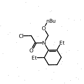 CCCCOCN(C(=O)CCl)C1=C(CC)CCCC1CC